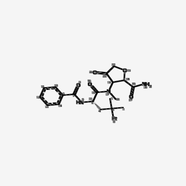 CCC(C)(C)C[C@H](NC(=O)c1ccccc1)C(=O)N(C)C1C(=O)COC1C(N)=O